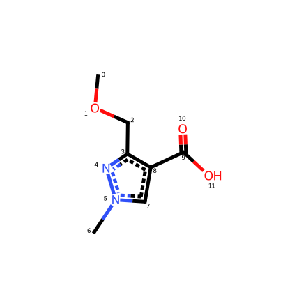 COCc1nn(C)cc1C(=O)O